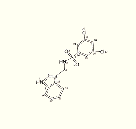 O=S(=O)(NCc1c[nH]c2ccccc12)c1cc(Cl)cc(Cl)c1